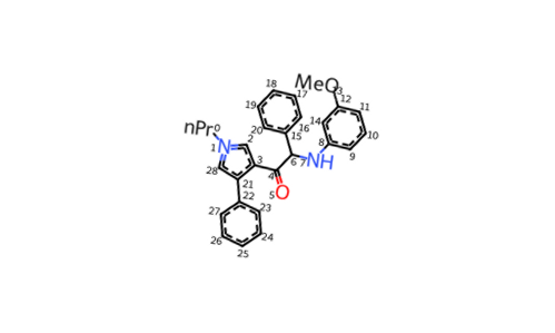 CCCn1cc(C(=O)C(Nc2cccc(OC)c2)c2ccccc2)c(-c2ccccc2)c1